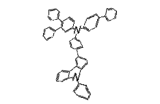 c1ccc(-c2ccc(N(c3ccc(-c4ccc5c(c4)c4ccccc4n5-c4ccccc4)cc3)c3ccc(-c4ccccc4)c(-c4ccccc4)c3)cc2)cc1